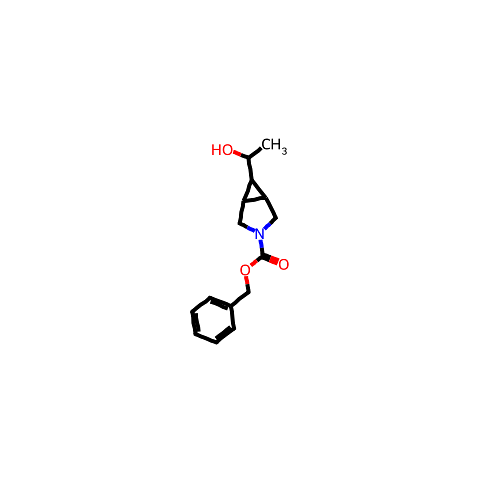 CC(O)C1C2CN(C(=O)OCc3ccccc3)CC21